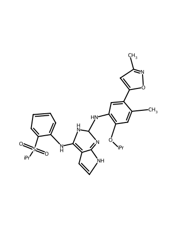 Cc1cc(-c2cc(NC3N=c4[nH]ccc4=C(Nc4ccccc4S(=O)(=O)C(C)C)N3)c(OC(C)C)cc2C)on1